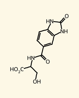 O=C(NC(CO)C(=O)O)c1ccc2[nH]c(=O)[nH]c2c1